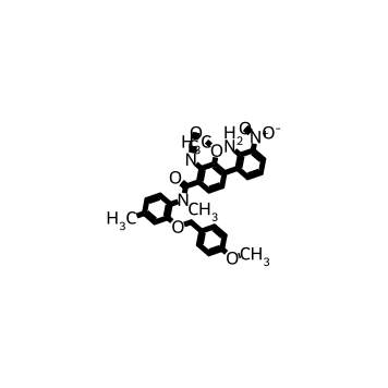 COc1ccc(COc2cc(C)ccc2N(C)C(=O)c2ccc(-c3cccc([N+](=O)[O-])c3N)c(OC)c2N=C=O)cc1